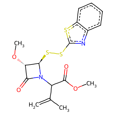 C=C(C)C(C(=O)OC)N1C(=O)[C@H](OC)[C@H]1SSc1nc2ccccc2s1